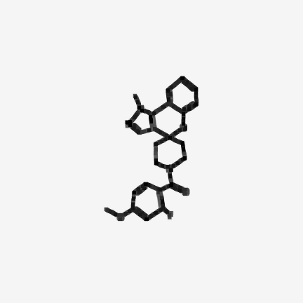 COc1ccc(C(=O)N2CCC3(CC2)Oc2ccccc2-c2c3cnn2C)c(F)c1